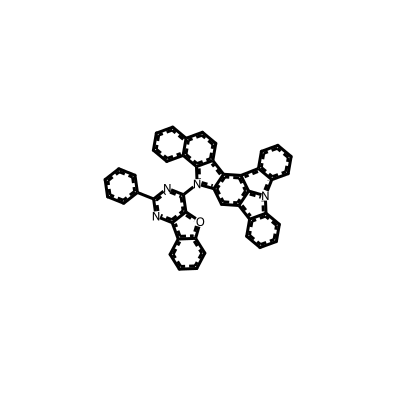 c1ccc(-c2nc(-n3c4cc5c6ccccc6n6c7ccccc7c(c4c4ccc7ccccc7c43)c56)c3oc4ccccc4c3n2)cc1